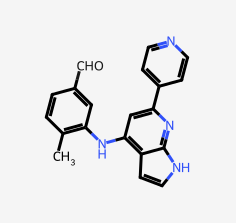 Cc1ccc(C=O)cc1Nc1cc(-c2ccncc2)nc2[nH]ccc12